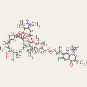 CC/C1=C(\O)[C@H](O)[C@@H](C)C(=O)[C@@H]2CO[C@](C)(C2)[C@H](OC2O[C@H](C)C[C@H](N(C)C)[C@H]2O)[C@@H](C)[C@H](O[C@H]2C[C@@](C)(OC)[C@@H](OC(=O)CCOCCNc3c(F)cc4c(=O)c(C(=O)O)cn(C5CC5)c4c3OC)[C@H](C)O2)[C@@H](C)C(=O)O1